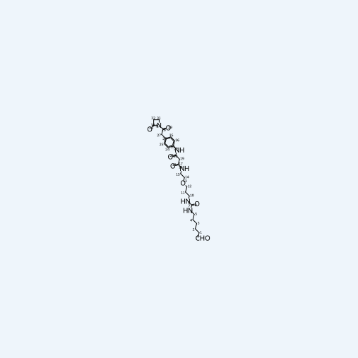 O=CCCCCCNC(=O)NCCCOCCNC(=O)CC(=O)Nc1ccc(CC(=O)N2CCC2=O)cc1